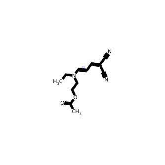 CCN(/C=C/C=C(C#N)C#N)CCOC(C)=O